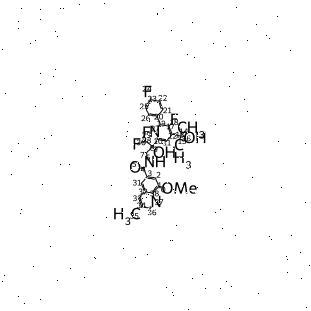 COc1cc(C(=O)NC[C@@](O)(c2cc(C(C)(C)O)c(F)c(-c3ccc(F)cc3)n2)C(F)F)cc2cc(C)cnc12